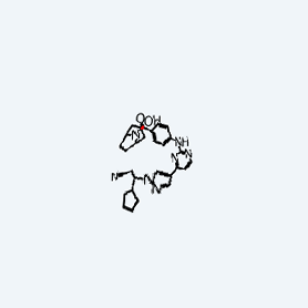 N#CCC(C1CCCC1)n1cc(-c2ccnc(Nc3ccc(C(=O)N4C5CCC4CC(O)C5)cc3)n2)cn1